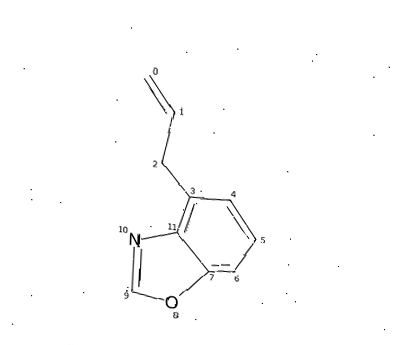 C=CCc1cccc2o[c]nc12